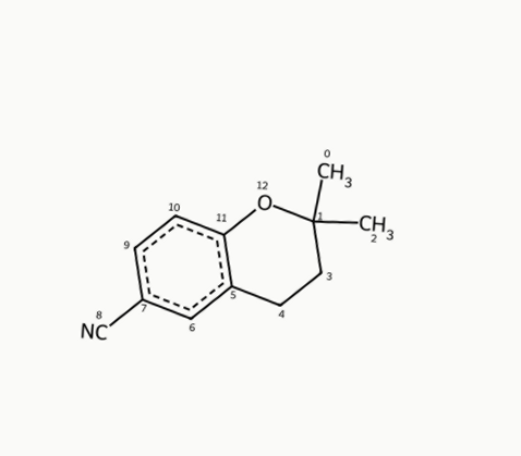 CC1(C)CCc2cc(C#N)ccc2O1